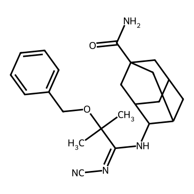 CC(C)(OCc1ccccc1)/C(=N\C#N)NC1C2CC3CC1CC(C(N)=O)(C3)C2